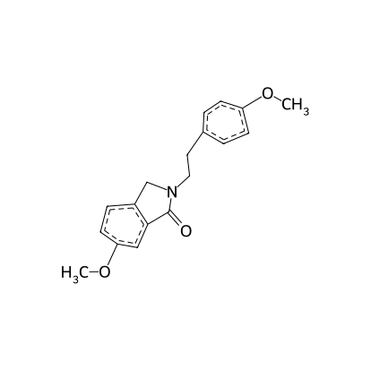 COc1ccc(CCN2Cc3ccc(OC)cc3C2=O)cc1